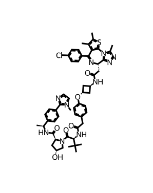 Cc1sc2c(c1C)C(c1ccc(Cl)cc1)=N[C@@H](CC(=O)N[C@H]1C[C@H](Oc3ccc(CC(=O)N[C@H](C(=O)N4C[C@H](O)C[C@H]4C(=O)N[C@@H](C)c4ccc(-c5nccn5C)cc4)C(C)(C)C)cc3)C1)c1nnc(C)n1-2